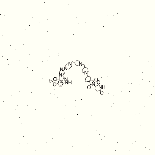 CC1(Oc2ccc3[nH]nc(-c4cc(N5CCN(CC6CCN(CC7CCN(c8ccc9c(c8)C(=O)N(C8CCC(=O)NC8=O)C9=O)CC7)CC6)CC5)ncn4)c3c2)CC1